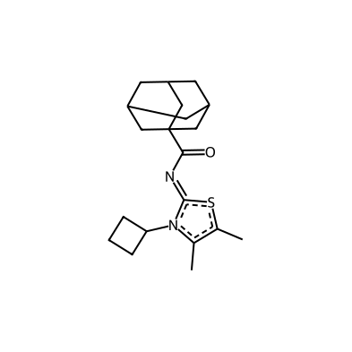 Cc1s/c(=N\C(=O)C23CC4CC(CC(C4)C2)C3)n(C2CCC2)c1C